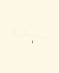 CC(O)CN[C@H](O)CN